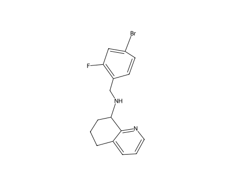 Fc1cc(Br)ccc1CNC1CCCc2cccnc21